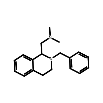 CN(C)CC1c2ccccc2CCN1Cc1ccccc1